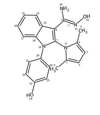 Cc1ccc(C)n1-c1c(/C(N)=N/O)c2ccccc2n1-c1ccc(O)cc1